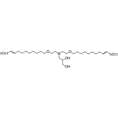 CCCCCCCCC=CCCCCCCCCOCCN(CCOCCCCCCCCC=CCCCCCCCC)CC(O)CO